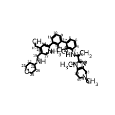 C=C(Nc1cccc(-c2cccc(-c3cc(CC)c(CNC4CCOCC4)cn3)c2C)c1C)c1nc2c(n1C)CCN(C)C2